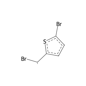 Br[CH]c1ccc(Br)s1